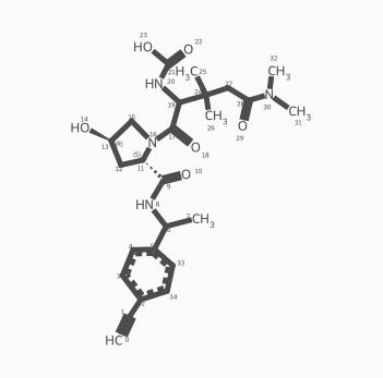 C#Cc1ccc(C(C)NC(=O)[C@@H]2C[C@@H](O)CN2C(=O)C(NC(=O)O)C(C)(C)CC(=O)N(C)C)cc1